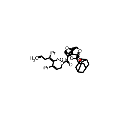 C=CC/C(=C(\C(=C/COC(=O)c1c2c3oc1c(OC(=O)C14CC5CC(C1)C(=O)C(C5)C4)c3OC2=O)C(C)C)S(=O)(=O)O)C(C)C